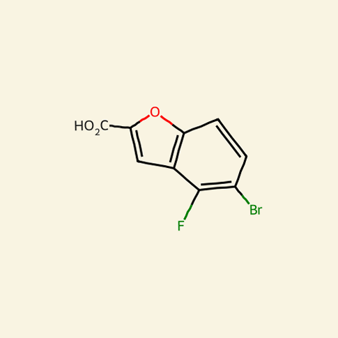 O=C(O)c1cc2c(F)c(Br)ccc2o1